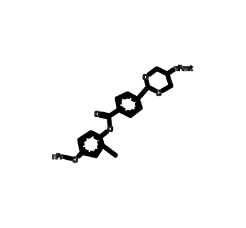 CCCCCC1COC(c2ccc(C(=O)Oc3ccc(OCCC)cc3C)cc2)OC1